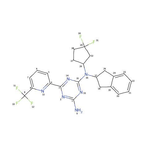 Nc1nc(-c2cccc(C(F)(F)F)n2)nc(N(C2Cc3ccccc3C2)C2CCC(F)(F)C2)n1